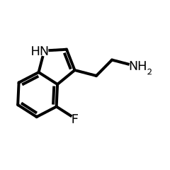 NCCc1c[nH]c2cccc(F)c12